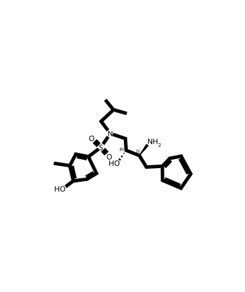 Cc1cc(S(=O)(=O)N(CC(C)C)C[C@@H](O)[C@@H](N)Cc2ccccc2)ccc1O